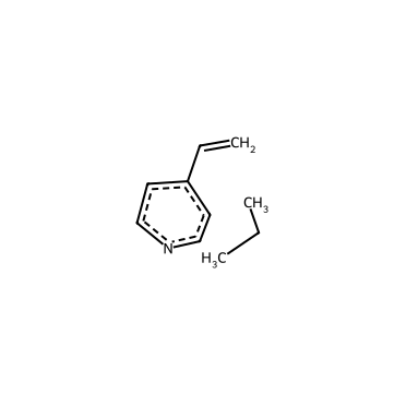 C=Cc1ccncc1.CCC